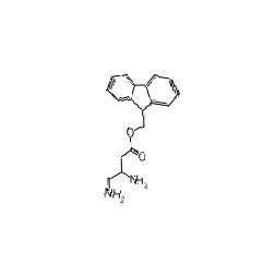 NCC(N)CC(=O)OCC1c2ccccc2-c2ccccc21